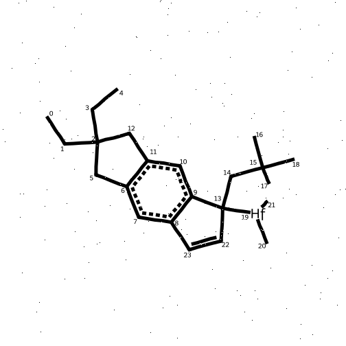 CCC1(CC)Cc2cc3c(cc2C1)[C](CC(C)(C)C)([Hf]([CH3])[CH3])C=C3